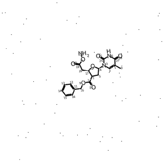 Cc1cn([C@H]2CC(C(=O)OCc3ccccc3)[C@@H](CC(=O)ON)O2)c(=O)[nH]c1=O